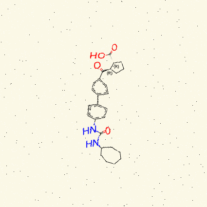 O=C(Nc1ccc(-c2ccc(C(=O)[C@@H]3CCC[C@H]3C(=O)O)cc2)cc1)NC1CCCCCC1